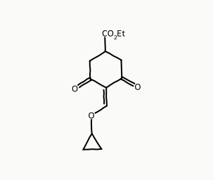 CCOC(=O)C1CC(=O)C(=COC2CC2)C(=O)C1